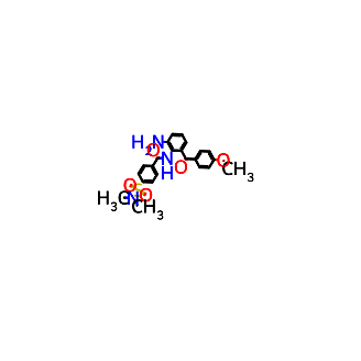 COc1ccc(C(=O)c2cccc(N)c2NC(=O)c2ccc(S(=O)(=O)N(C)C)cc2)cc1